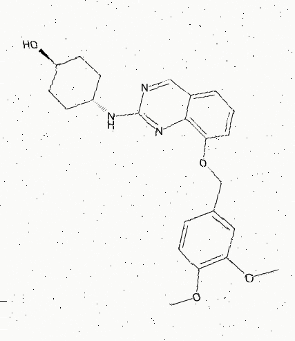 COc1ccc(COc2cccc3cnc(N[C@H]4CC[C@H](O)CC4)nc23)cc1OC